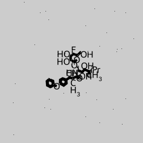 CC(C(=O)N[C@@H](CO[C@H]1OC(CO)[C@H](F)C(O)C1O)[C@H](O)[C@H](O)[C@H](C)C(C)C)C(C)c1ccc(Oc2ccccc2)cc1